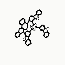 c1ccc2c(c1)-c1cc3ccccc3cc1CCC2c1ccc2c(oc3ccccc32)c1-c1nc(-c2ccc3oc4ccccc4c3c2)nc(-c2ccc3oc4ccccc4c3c2)n1